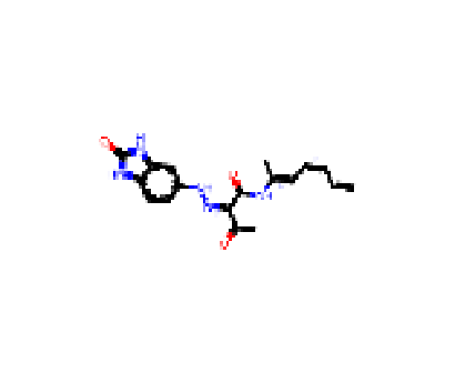 C=C/C=C\C=C(/C)NC(=O)/C(=N\Nc1ccc2[nH]c(=O)[nH]c2c1)C(C)=O